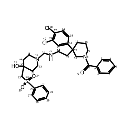 O=C(c1ccccc1)N1CCCC(CCNCN2CCC(O)(CS(=O)(=O)c3ccccc3)CC2)(c2ccc(Cl)c(Cl)c2)C1